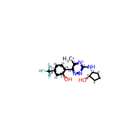 Cc1nc(N[C@@H]2CCC[C@H]2O)nnc1-c1ccc(C(F)(F)F)cc1O